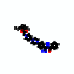 CC(C)(C)OC(=O)CN1CCC(N2CCN(c3ccc(C(=N)NC(=O)c4ccccc4)cc3)CC2)CC1